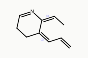 C=C/C=C1/CCC=N/C1=C/C